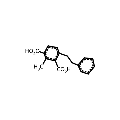 Cc1c(C(=O)O)ccc(CCc2ccccc2)c1C(=O)O